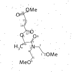 COCCN(CCOC)C(=O)[C@H](C)OC(=O)/C=C/C(=O)OC